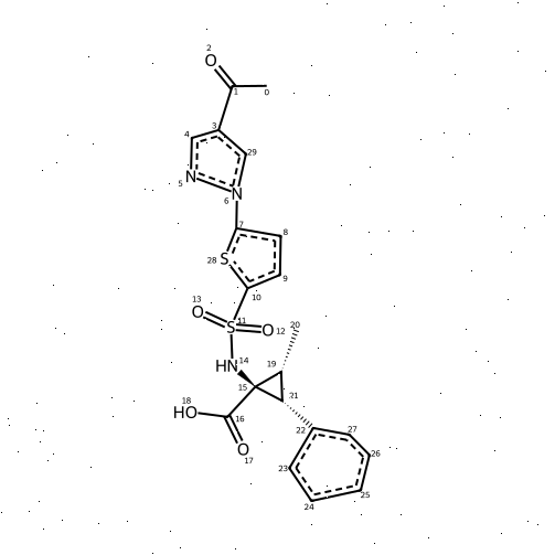 CC(=O)c1cnn(-c2ccc(S(=O)(=O)N[C@@]3(C(=O)O)[C@H](C)[C@@H]3c3ccccc3)s2)c1